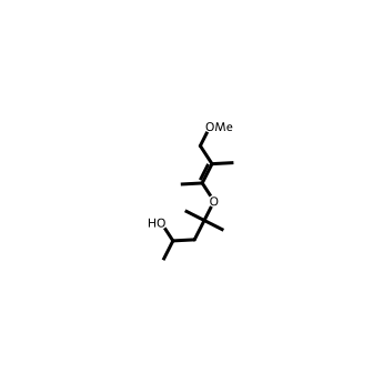 COC/C(C)=C(\C)OC(C)(C)CC(C)O